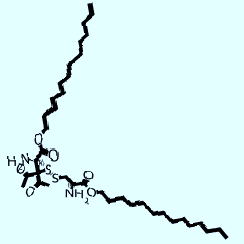 CCCCCCCCCCCCCCOC(=O)[C@@H](N)C(SSC[C@H](N)C(=O)OCCCCCCCCCCCCCC)(C(C)=O)C(C)=O